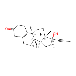 CC#C[C@]1(O)[C@H](C)C[C@H]2[C@@H]3[C@H](C)CC4=C(CCC(=O)C4)[C@H]3CC[C@@]21C